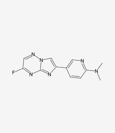 CN(C)c1ccc(-c2cn3ncc(F)nc3n2)cn1